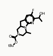 CC(O)c1nc2c(cc1F)CC1CN(C(=O)OC(C)(C)C)CC(C)N21